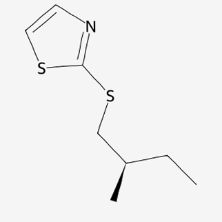 CC[C@@H](C)CSc1nccs1